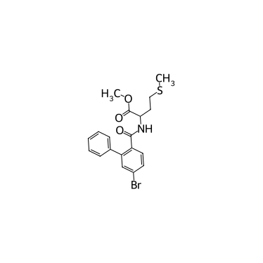 COC(=O)C(CCSC)NC(=O)c1ccc(Br)cc1-c1ccccc1